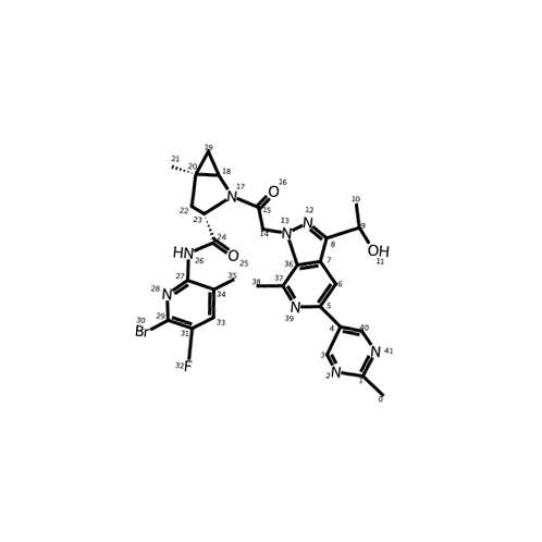 Cc1ncc(-c2cc3c(C(C)O)nn(CC(=O)N4C5C[C@]5(C)C[C@H]4C(=O)Nc4nc(Br)c(F)cc4C)c3c(C)n2)cn1